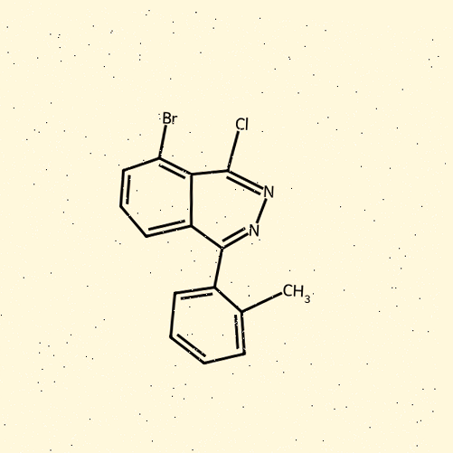 Cc1ccccc1-c1nnc(Cl)c2c(Br)cccc12